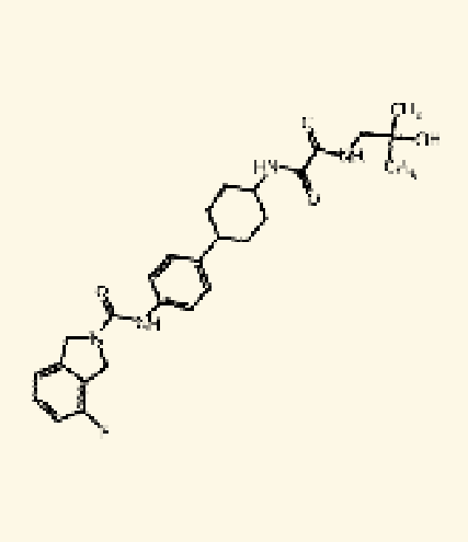 CC(C)(O)CNC(=O)C(=O)NC1CCC(c2ccc(NC(=O)N3Cc4cccc(F)c4C3)cc2)CC1